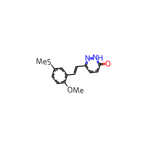 COc1ccc(SC)cc1C=Cc1ccc(=O)[nH]n1